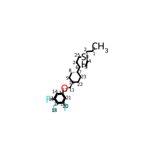 CCC[Si@H]1CC[C@H]([C@H]2CC[C@H](COc3cc(F)c(F)c(F)c3)CC2)CC1